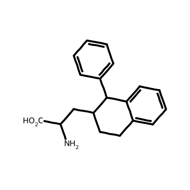 NC(CC1CCc2ccccc2C1c1ccccc1)C(=O)O